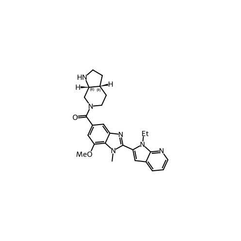 CCn1c(-c2nc3cc(C(=O)N4CC[C@H]5CCN[C@H]5C4)cc(OC)c3n2C)cc2cccnc21